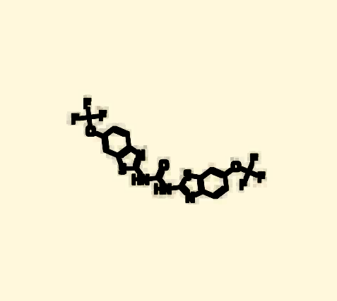 O=C(Nc1nc2ccc(OC(F)(F)F)cc2s1)Nc1nc2ccc(OC(F)(F)F)cc2s1